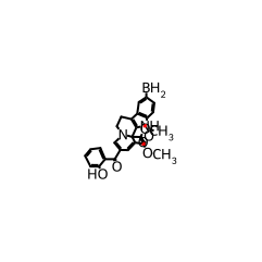 Bc1ccc2[nH]c3c(c2c1)CCN1C=C(C(=O)c2ccccc2O)C=C(C(=O)OC)C31C(=O)OC